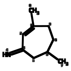 CC1=CC(=N)CC(C)CC1